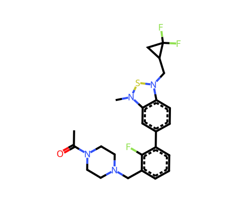 CC(=O)N1CCN(Cc2cccc(-c3ccc4c(c3)N(C)SN4CC3CC3(F)F)c2F)CC1